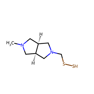 CN1C[C@@H]2CN(CSS)C[C@@H]2C1